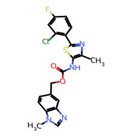 Cc1nc(-c2ccc(F)cc2Cl)sc1NC(=O)OCc1ccc2c(c1)ncn2C